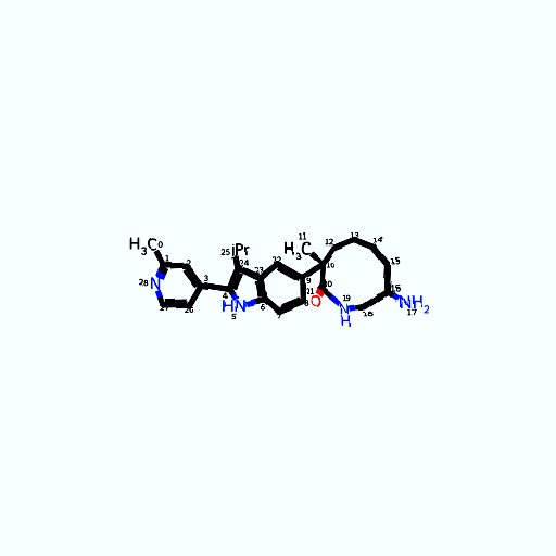 Cc1cc(-c2[nH]c3ccc(C4(C)CCCCC(N)CNC4=O)cc3c2C(C)C)ccn1